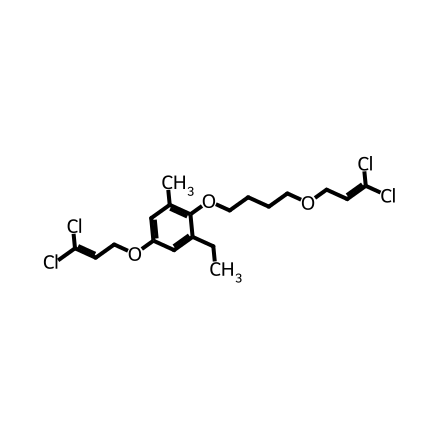 CCc1cc(OCC=C(Cl)Cl)cc(C)c1OCCCCOCC=C(Cl)Cl